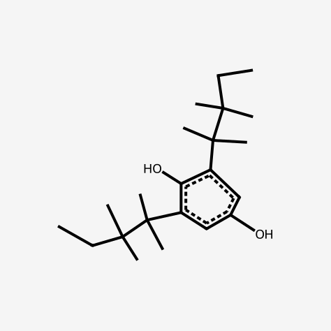 CCC(C)(C)C(C)(C)c1cc(O)cc(C(C)(C)C(C)(C)CC)c1O